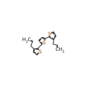 C=CCc1ccsc1-c1ccc(-c2sccc2CC=C)s1